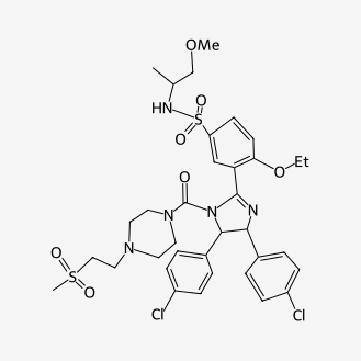 CCOc1ccc(S(=O)(=O)NC(C)COC)cc1C1=NC(c2ccc(Cl)cc2)C(c2ccc(Cl)cc2)N1C(=O)N1CCN(CCS(C)(=O)=O)CC1